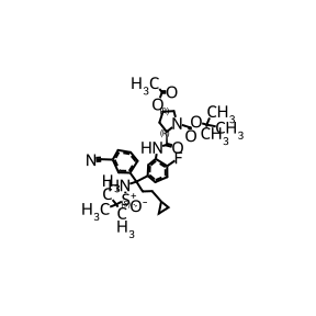 CC(=O)O[C@@H]1C[C@H](C(=O)Nc2cc(C(CCC3CC3)(N[S@+]([O-])C(C)(C)C)c3cccc(C#N)c3)ccc2F)N(C(=O)OC(C)(C)C)C1